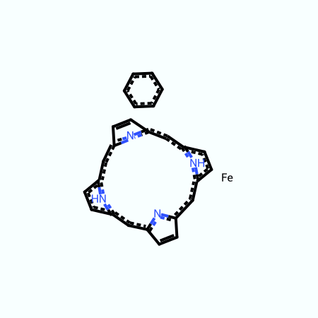 C1=Cc2cc3ccc(cc4nc(cc5ccc(cc1n2)[nH]5)C=C4)[nH]3.[Fe].c1ccccc1